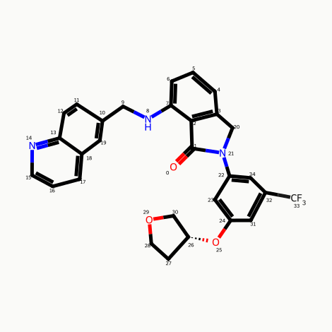 O=C1c2c(cccc2NCc2ccc3ncccc3c2)CN1c1cc(O[C@@H]2CCOC2)cc(C(F)(F)F)c1